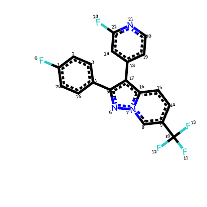 Fc1ccc(-c2nn3cc(C(F)(F)F)ccc3c2-c2ccnc(F)c2)cc1